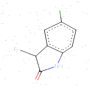 CCC1C(=O)Nc2ccc(Cl)cc21